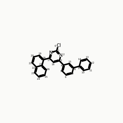 Clc1nc(-c2cccc(-c3ccccc3)c2)cc(-c2cccc3ccccc23)n1